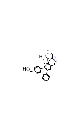 CC/C=C1/N=Cc2cc(-c3ccccc3)c(-c3ccc(CO)cc3)nc2N1N